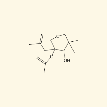 C=C(C)CC1(CC(=C)C)CCCC(C)(C)[C@@H]1O